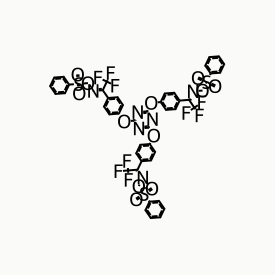 O=S(=O)(O/N=C(/c1ccc(Oc2nc(Oc3ccc(/C(=N/OS(=O)(=O)c4ccccc4)C(F)(F)F)cc3)nc(Oc3ccc(/C(=N/OS(=O)(=O)c4ccccc4)C(F)(F)F)cc3)n2)cc1)C(F)(F)F)c1ccccc1